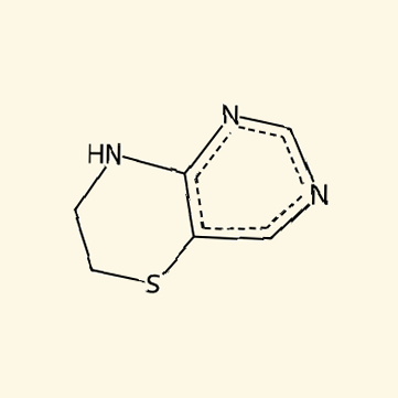 c1ncc2c(n1)NCCS2